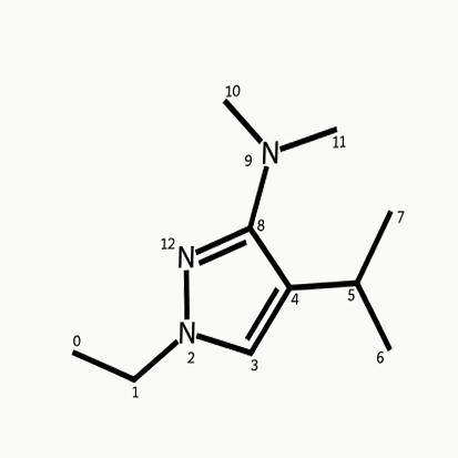 CCn1cc(C(C)C)c(N(C)C)n1